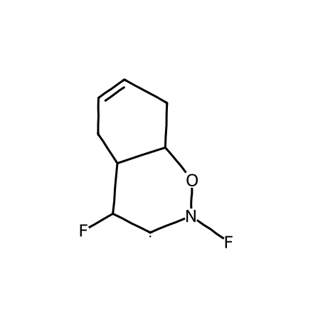 FC1[CH]N(F)OC2CC=CCC12